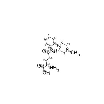 CN1CCN(c2ccccc2NC(=O)CC[C@H](N)C(=O)O)CC1